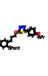 CCCCCC1CCCCC1CCCOc1nnc(-c2ccc(OCCC)cc2)s1